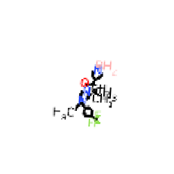 BN1CCC(CC(=O)N2CCN(C(CCC)c3ccc(C(F)(F)F)cc3)C[C@@H]2C(C)(C)C)CC1